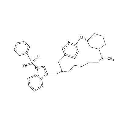 Cc1ccc(CN(CCCCCN(C)C2CCCCC2)Cc2cn(S(=O)(=O)c3ccccc3)c3ccccc23)cn1